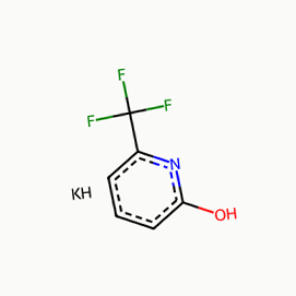 Oc1cccc(C(F)(F)F)n1.[KH]